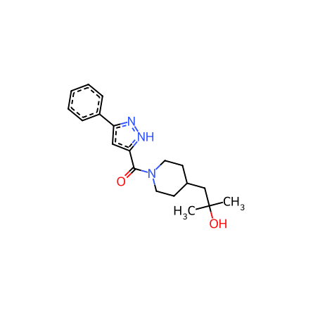 CC(C)(O)CC1CCN(C(=O)c2cc(-c3ccccc3)n[nH]2)CC1